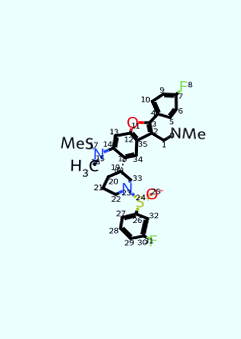 CNCc1c(-c2ccc(F)cc2)oc2cc(N(C)SC)c([C@H]3CCCN([S+]([O-])c4cccc(F)c4)C3)cc12